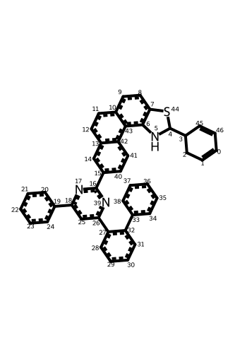 C1=CCC(C2Nc3c(ccc4ccc5cc(-c6nc(-c7ccccc7)cc(-c7ccccc7-c7ccccc7)n6)ccc5c34)S2)C=C1